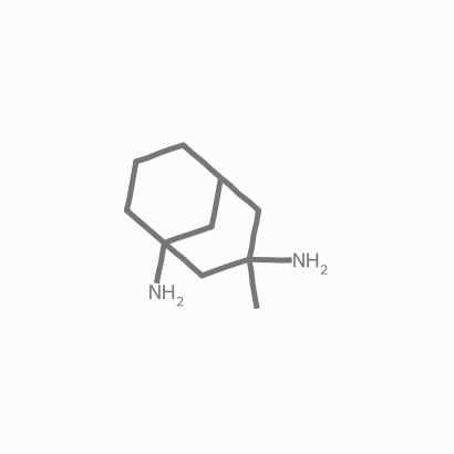 CC1(N)CC2CCCC(N)(C2)C1